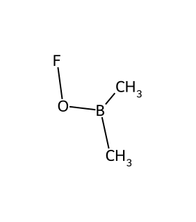 CB(C)OF